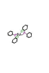 [Cl][Pd]([Cl])([CH2]P(c1ccccc1)c1ccccc1)[CH2]P(c1ccccc1)c1ccccc1